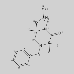 CN1C(=O)C(C)(C)N(Cc2ccccc2)CC1(C)O[SiH2]C(C)(C)C